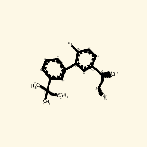 CC(C)(C)c1cccc(-c2cc(C(=O)CBr)ccc2I)c1